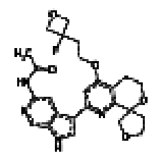 CC(=O)Nc1cc2c(-c3cc(OCCC4(F)COC4)c4c(n3)C3(CCOC3)OCC4)c[nH]c2cn1